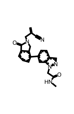 C=C(C#N)CN1Cc2c(cccc2-c2ccc3cnn(CC(=O)NC)c3c2)C1=O